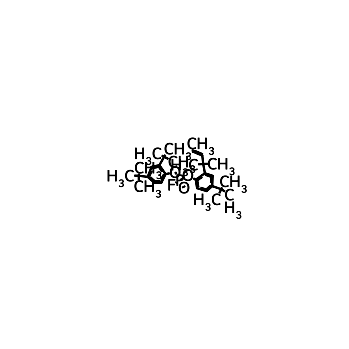 CC=CC(C)(C)c1cc(C(C)(C)C)ccc1OP(=O)(F)Oc1ccc(C(C)(C)C)cc1C(C)(C)C